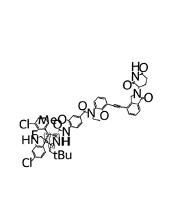 COc1cc(C(=O)N2CCOc3c(C#Cc4cccc5c4CN(C4CCC(=O)NC4=O)C5=O)cccc32)ccc1NC(=O)[C@@H]1N[C@@H](CC(C)(C)C)[C@@]2(CNc3cc(Cl)ccc32)[C@H]1c1cccc(Cl)c1F